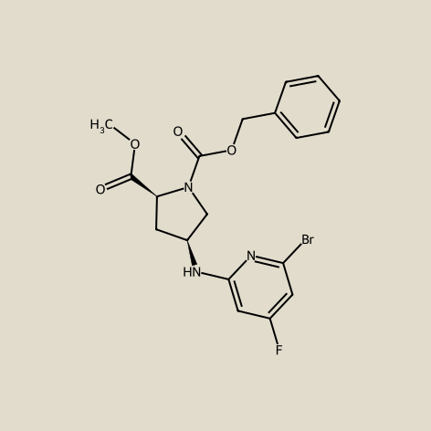 COC(=O)[C@@H]1C[C@H](Nc2cc(F)cc(Br)n2)CN1C(=O)OCc1ccccc1